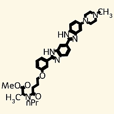 CCCN(C(=O)CCCOc1cccc(-c2nc3ccc(-c4nc5cc(N6CCN(C)CC6)ccc5[nH]4)cc3[nH]2)c1)[C@H](C)C(=O)OC